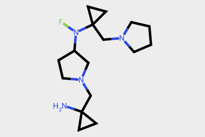 NC1(CN2CCC(N(F)C3(CN4CCCC4)CC3)C2)CC1